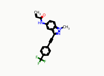 C=CC(=O)Nc1ccc2c(c1)c(C#Cc1ccc(C(F)(F)F)cc1)nn2C